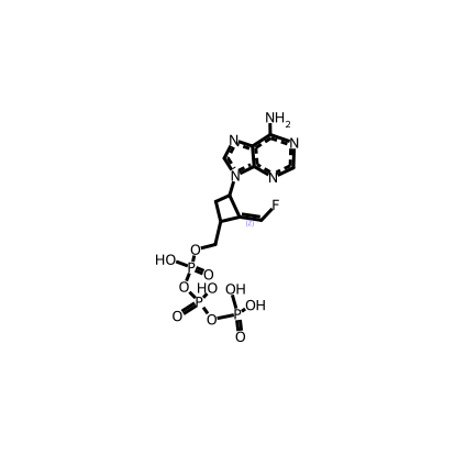 Nc1ncnc2c1ncn2C1CC(COP(=O)(O)OP(=O)(O)OP(=O)(O)O)/C1=C/F